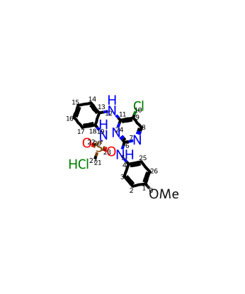 COc1ccc(Nc2ncc(Cl)c(Nc3ccccc3NS(C)(=O)=O)n2)cc1.Cl